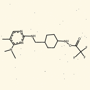 Cc1cnc(NCC2CCC(NOC(=O)C(F)(F)F)CC2)nc1N(C)C